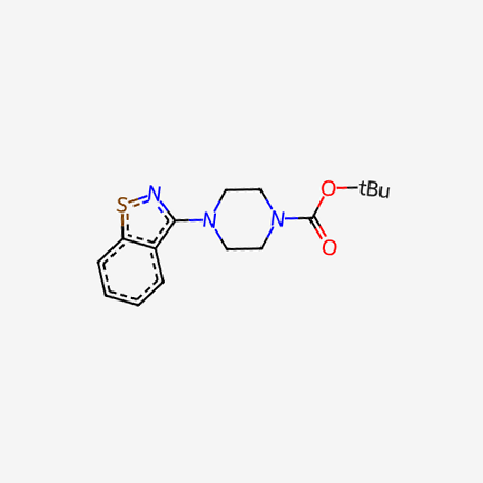 CC(C)(C)OC(=O)N1CCN(c2nsc3ccccc23)CC1